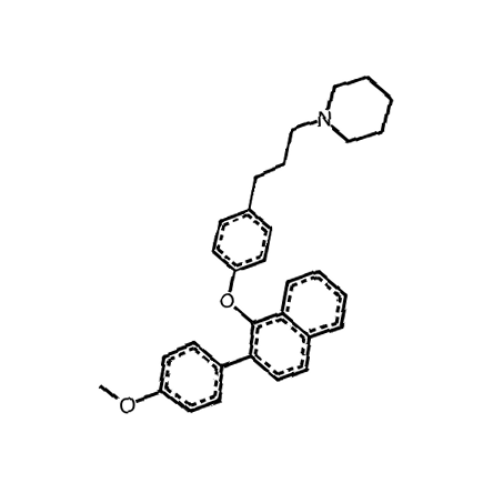 COc1ccc(-c2ccc3ccccc3c2Oc2ccc(CCCN3CCCCC3)cc2)cc1